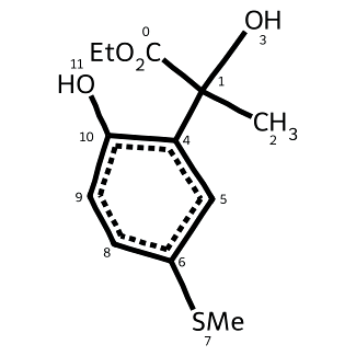 CCOC(=O)C(C)(O)c1cc(SC)ccc1O